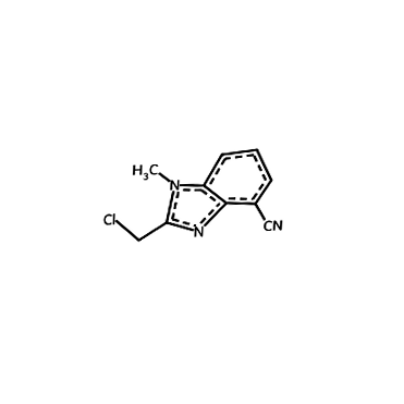 Cn1c(CCl)nc2c(C#N)cccc21